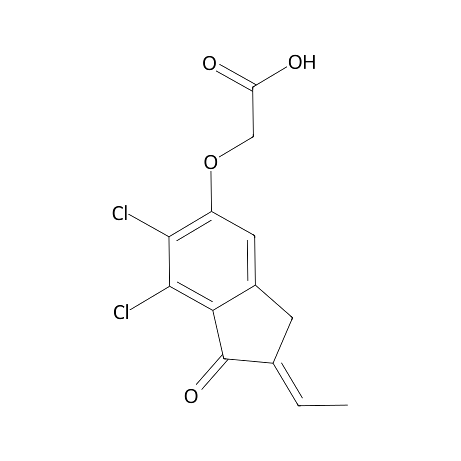 C/C=C1\Cc2cc(OCC(=O)O)c(Cl)c(Cl)c2C1=O